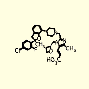 Cc1nc(CN2CCC(c3cccc4c3O[C@](C)(c3ccc(Cl)cc3F)C4)CC2)n(C[C@@H]2CCO2)c1/C=C/C(=O)O